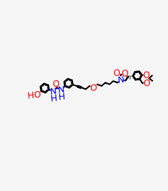 CC1(C)OCc2cc([C@@H]3CN(CCCCCCOCCC#Cc4cccc(NC(=O)Nc5cccc(O)c5)c4)C(=O)O3)ccc2O1